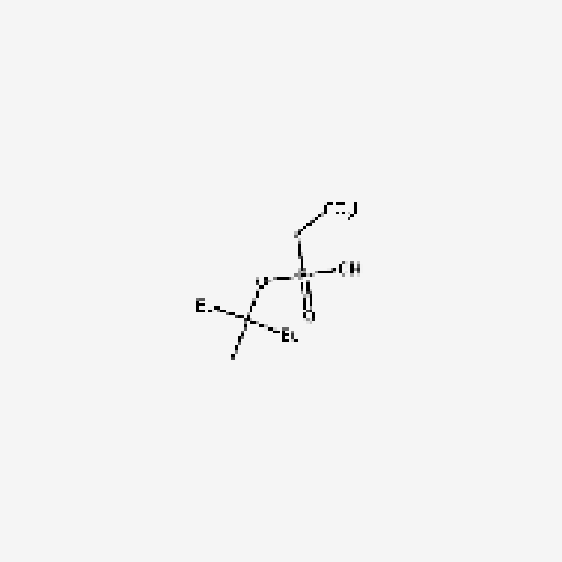 CCC(C)(CC)OP(=O)(O)CC(=O)O